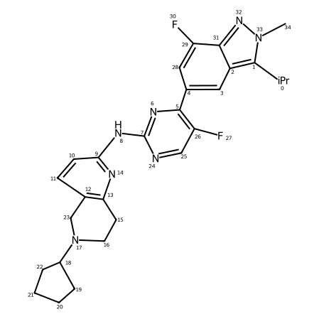 CC(C)c1c2cc(-c3nc(Nc4ccc5c(n4)CCN(C4CCCC4)C5)ncc3F)cc(F)c2nn1C